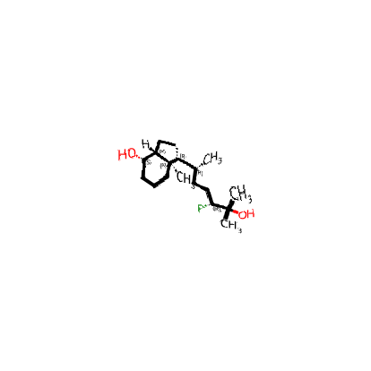 C[C@H](CC[C@@H](F)C(C)(C)O)[C@H]1CC[C@H]2[C@@H](O)CCC[C@]12C